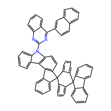 c1ccc2c(c1)-c1ccccc1C21c2ccccc2C2(c3ccccc3-c3c2ccc2c3c3ccccc3n2-c2nc(-c3ccc4ccccc4c3)c3ccccc3n2)c2ccccc21